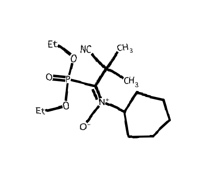 CCOP(=O)(OCC)/C(=[N+](\[O-])C1CCCCC1)C(C)(C)C#N